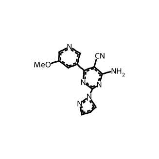 COc1cncc(-c2nc(-n3cccn3)nc(N)c2C#N)c1